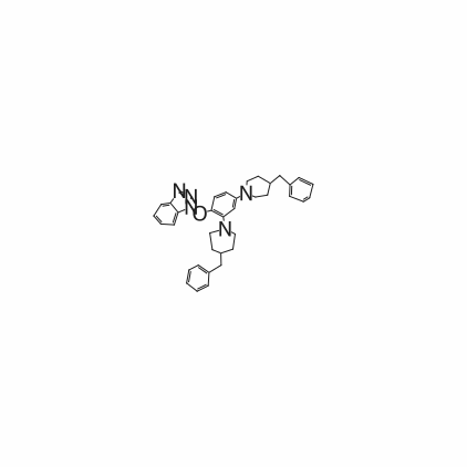 c1ccc(CC2CCN(c3ccc(On4nnc5ccccc54)c(N4CCC(Cc5ccccc5)CC4)c3)CC2)cc1